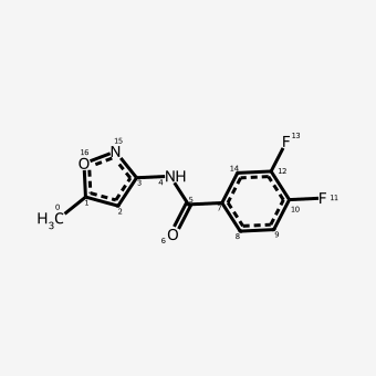 Cc1cc(NC(=O)c2ccc(F)c(F)c2)no1